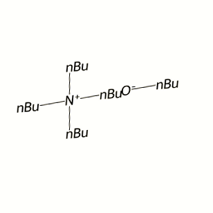 CCCC[N+](CCCC)(CCCC)CCCC.CCCC[O-]